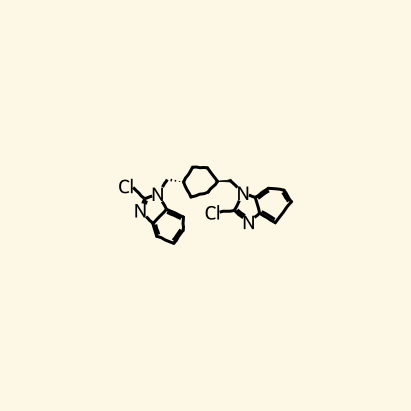 Clc1nc2ccccc2n1C[C@H]1CC[C@H](Cn2c(Cl)nc3ccccc32)CC1